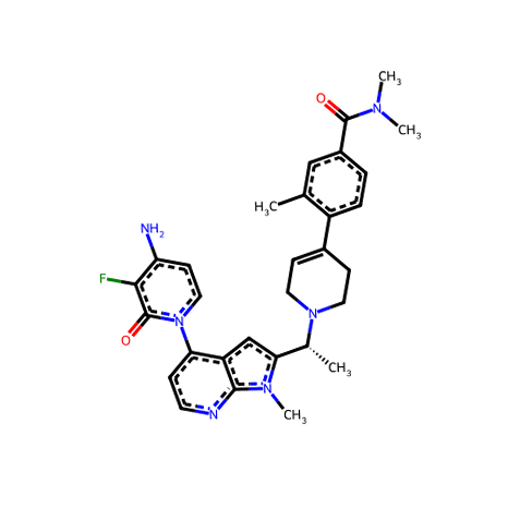 Cc1cc(C(=O)N(C)C)ccc1C1=CCN([C@H](C)c2cc3c(-n4ccc(N)c(F)c4=O)ccnc3n2C)CC1